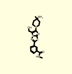 CNC(=O)c1cccc(-c2nn3c(CO)c(N4CCC(C)(N)CC4)nc3s2)c1